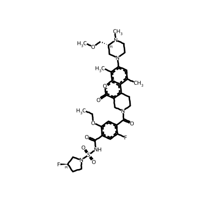 CCOc1cc(C(=O)N2CCc3c(c(=O)oc4c(C)c(N5CCN(C)[C@@H](COC)C5)cc(C)c34)C2)c(F)cc1C(=O)NS(=O)(=O)N1CC[C@@H](F)C1